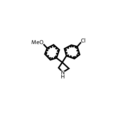 COc1ccc(C2(c3ccc(Cl)cc3)CNC2)cc1